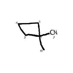 CC1(C#N)CCC1